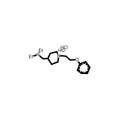 CCN(CC)CC1CCN(CCOc2ccccc2)CC1.Cl.Cl